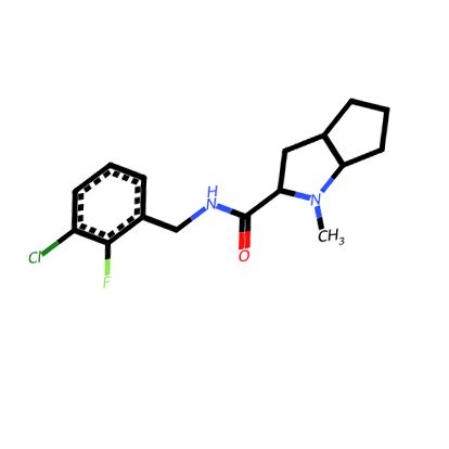 CN1C(C(=O)NCc2cccc(Cl)c2F)CC2CCCC21